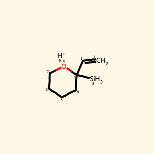 C=CC1([SiH3])CCCCO1.[H+]